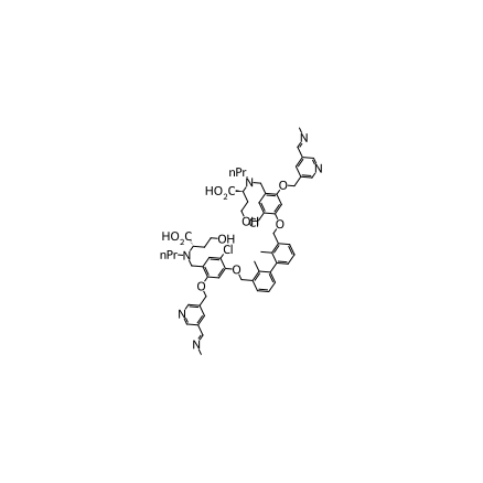 CCCN(Cc1cc(Cl)c(OCc2cccc(-c3cccc(COc4cc(OCc5cncc(/C=N/C)c5)c(CN(CCC)[C@@H](CCO)C(=O)O)cc4Cl)c3C)c2C)cc1OCc1cncc(/C=N/C)c1)[C@@H](CCO)C(=O)O